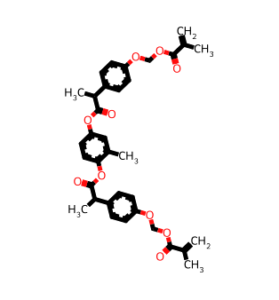 C=C(C)C(=O)OCOc1ccc(C(C)C(=O)Oc2ccc(OC(=O)C(C)c3ccc(OCOC(=O)C(=C)C)cc3)c(C)c2)cc1